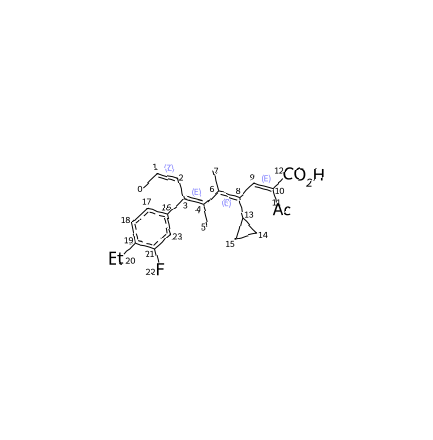 C\C=C/C(=C(C)\C(C)=C(\C=C(/C(C)=O)C(=O)O)C1CC1)c1ccc(CC)c(F)c1